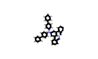 C1=CCC2=CN3C=c4ccccc4=C4CC(N(c5ccc(-c6ccccc6)cc5)c5ccc(-c6ccccc6)cc5)=CC(=C43)C2=C1